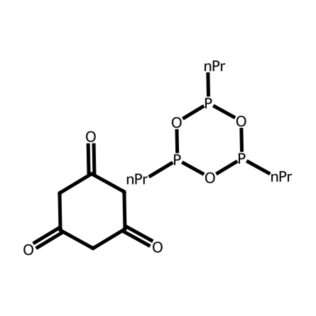 CCCP1OP(CCC)OP(CCC)O1.O=C1CC(=O)CC(=O)C1